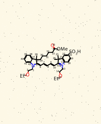 CCOCCN1/C(=C/C=CC=CC2=[N+](CCOCC)c3ccc(S(=O)(=O)O)cc3C2(C)C)C(C)(CCCCCC(=O)OC)c2ccccc21